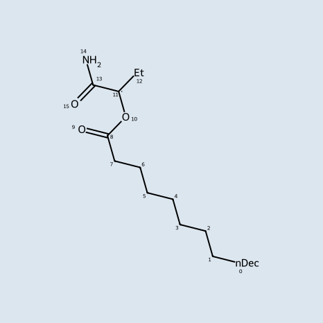 CCCCCCCCCCCCCCCCCC(=O)O[C](CC)C(N)=O